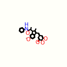 COC1=CC(=CC2=C(C)C(C(C)C(=O)Nc3ccccc3)c3cc(OC)ccc32)C=C(OC)C1=O